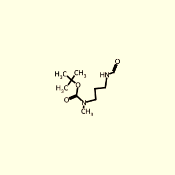 CN(CCCN[C]=O)C(=O)OC(C)(C)C